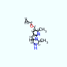 Cc1nc2c(cc1COCC1CC1)C[C@@H]1CNC[C@@H](C)N21